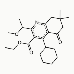 CCOC(=O)c1c(C(C)OC)nc2c(c1C1CCCCC1)C(=O)CC(C)(C)C2